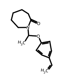 C=Cc1ccc(OC(C)N2CCCCCC2=O)cc1